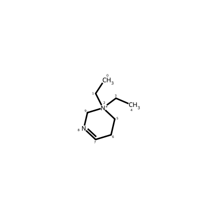 CC[N+]1(CC)CCC=NC1